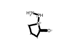 NPN1CCCC1=O